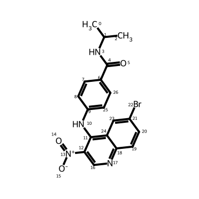 CC(C)NC(=O)c1ccc(Nc2c([N+](=O)[O-])cnc3ccc(Br)cc23)cc1